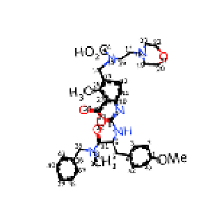 COc1ccc(C[C@H](Nc2nc3ccc(CN(CCN4CCOCC4)C(=O)O)c(C)c3c(=O)o2)C(=O)N(C)Cc2ccccc2)cc1